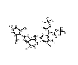 C=C(/C=C(\N=C(\C)N)Nc1ncc(F)c2nn(-c3c(Cl)cc(F)cc3C#N)cc12)N(C(=O)OC(C)(C)C)C(=O)OC(C)(C)C